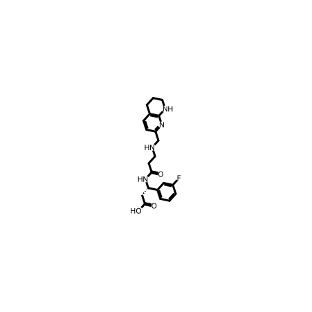 O=C(O)C[C@H](NC(=O)CCNCc1ccc2c(n1)NCCC2)c1cccc(F)c1